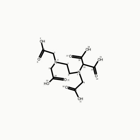 O=C(O)CN(CCN(CC(=O)O)C(C(=O)O)C(=O)O)CC(=O)O